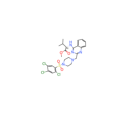 COC(=O)[C@@H](Nc1nc(CN2CCN(S(=O)(=O)c3cc(Cl)c(Cl)cc3Cl)CC2)nc2ccccc12)C(C)C